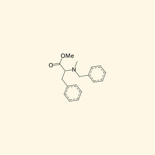 COC(=O)C(Cc1ccccc1)N(C)Cc1ccccc1